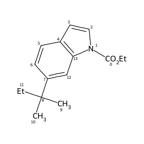 CCOC(=O)n1ccc2ccc(C(C)(C)CC)cc21